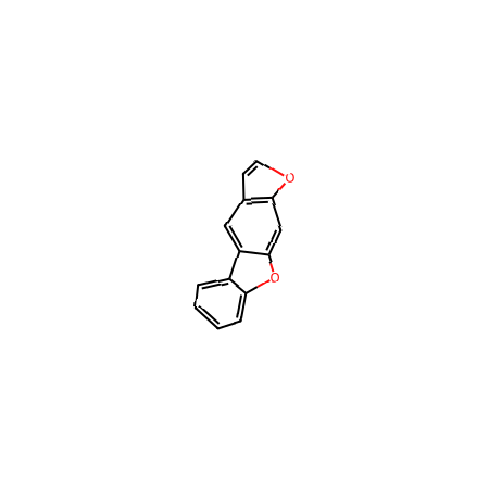 c1ccc2c(c1)oc1cc3occc3cc12